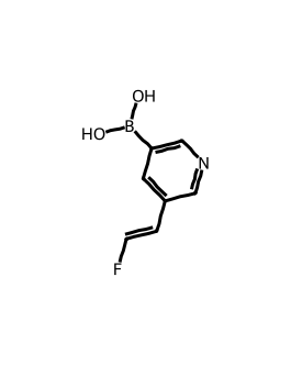 OB(O)c1cncc(C=CF)c1